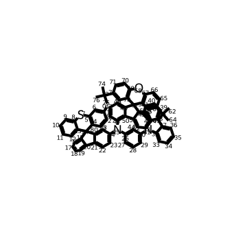 Cc1ccc2c(c1)Sc1ccccc1C21c2ccccc2-c2ccc(N(c3cccc(-n4c5ccccc5c5ccccc54)c3)c3cccc4c3-c3ccccc3C43c4cc(C(C)(C)C)ccc4Oc4ccc(C(C)(C)C)cc43)cc21